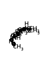 Cc1ccc(-c2cc(C(=O)NC(Cc3ccc(-c4noc(-c5ccc(NC(=O)OC(C)(C)C)cc5)n4)c(F)c3)C(=O)O)ccn2)cc1